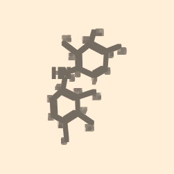 Cc1ccc(Nc2ccc(C)c(C)c2C)c(C)c1C